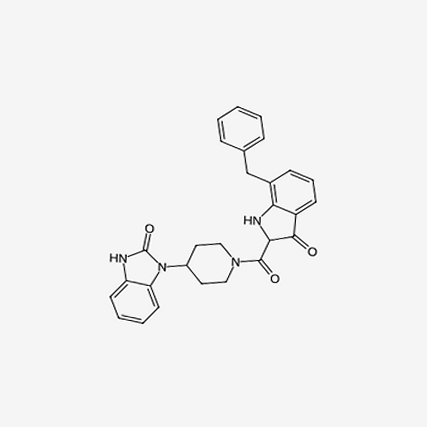 O=C1c2cccc(Cc3ccccc3)c2NC1C(=O)N1CCC(n2c(=O)[nH]c3ccccc32)CC1